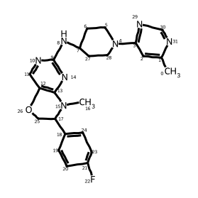 Cc1cc(N2CCC(Nc3ncc4c(n3)N(C)C(c3ccc(F)cc3)CO4)CC2)ncn1